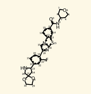 O=C(NC1CCOCC1)c1ccc2c(c1)sc1nc(-c3ccc(C4CC5(CN4)OCCO5)cc3F)cn12